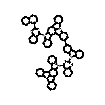 c1ccc2c(-c3nc(-n4c5ccccc5c5c6c7cc(-c8ccc9c(c8)c8ccccc8n9-c8nc(-n9c%10ccccc%10c%10c%11c%12ccccc%12n%12c%13ccccc%13c(cc%109)c%11%12)c9ccccc9n8)ccc7n7c8ccccc8c(cc54)c67)c4ccccc4n3)cccc2c1